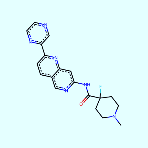 CN1CCC(F)(C(=O)Nc2cc3nc(-c4cnccn4)ccc3cn2)CC1